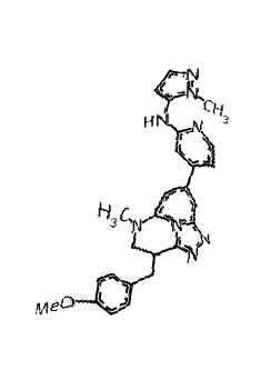 COc1ccc(CC2CN(C)c3cc(-c4ccnc(Nc5ccnn5C)c4)cc4nnc2n34)cc1